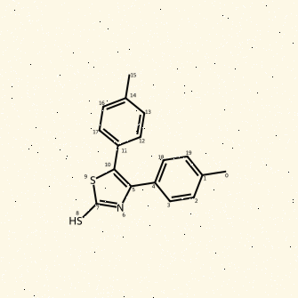 Cc1ccc(-c2nc(S)sc2-c2ccc(C)cc2)cc1